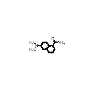 CN(C)c1ccc2c(C(N)=O)cccc2c1